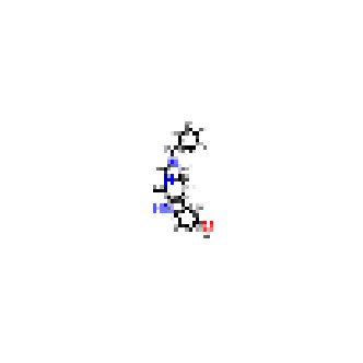 COc1ccc2[nH]c3c(c2c1)CC1CN(Cc2ccccc2)CN1C3C